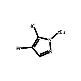 CC(C)c1cnn(C(C)(C)C)c1O